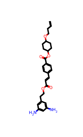 C=CCCOC1CCC(OC(=O)c2ccc(/C=C/C(=O)OCCc3cc(N)cc(N)c3)cc2)CC1